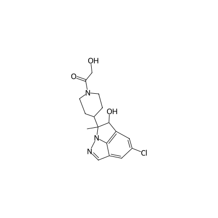 CC1(C2CCN(C(=O)CO)CC2)C(O)c2cc(Cl)cc3cnn1c23